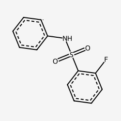 O=S(=O)(Nc1[c]cccc1)c1ccccc1F